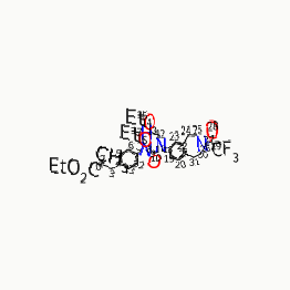 CCOC(=O)C(C)Cc1ccc(NC(=O)N(CC(OCC)OCC)c2ccc3c(c2)CCN(C(=O)C(F)(F)F)CC3)cc1